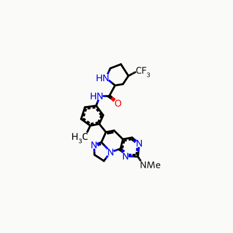 CNc1ncc2c(n1)N1CCN=C1C(c1cc(NC(=O)C3CC(C(F)(F)F)CCN3)ccc1C)=C2